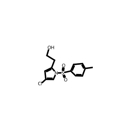 Cc1ccc(S(=O)(=O)n2cc(Cl)cc2CCO)cc1